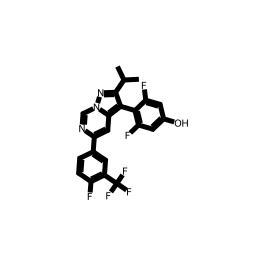 CC(C)c1nn2cnc(-c3ccc(F)c(C(F)(F)F)c3)cc2c1-c1c(F)cc(O)cc1F